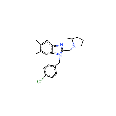 Cc1cc2nc(CN3CCCC3C)n(Cc3ccc(Cl)cc3)c2cc1C